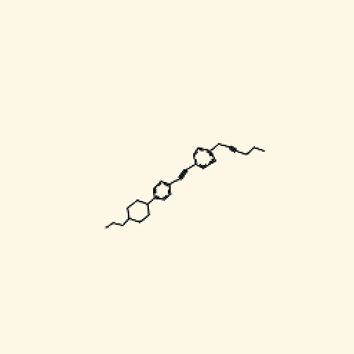 CCCC#CCc1ccc(C#Cc2ccc(C3CCC(CCC)CC3)cc2)cc1